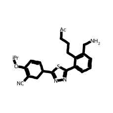 CC(=O)CCCc1c(CN)cccc1-c1nnc(C2C=CC(OC(C)C)=C(C#N)C2)s1